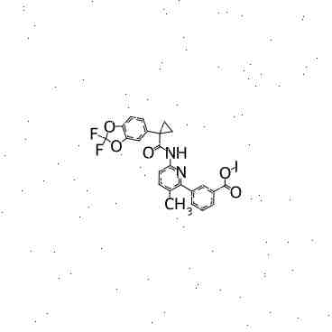 Cc1ccc(NC(=O)C2(c3ccc4c(c3)OC(F)(F)O4)CC2)nc1-c1cccc(C(=O)OI)c1